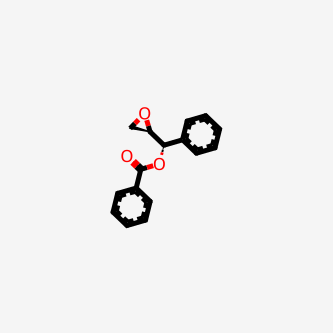 O=C(O[C@@H](c1ccccc1)[C@H]1CO1)c1ccccc1